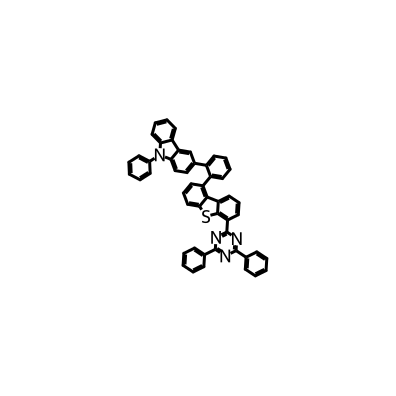 c1ccc(-c2nc(-c3ccccc3)nc(-c3cccc4c3sc3cccc(-c5ccccc5-c5ccc6c(c5)c5ccccc5n6-c5ccccc5)c34)n2)cc1